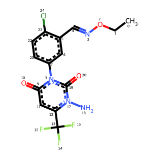 CCO/N=C/c1cc(-n2c(=O)cc(C(F)(F)F)n(N)c2=O)ccc1Cl